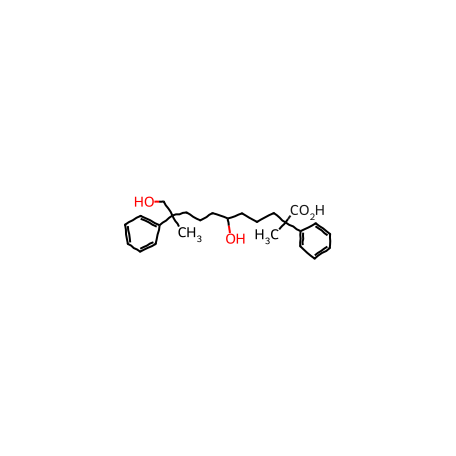 CC(CO)(CCCC(O)CCCC(C)(C(=O)O)c1ccccc1)c1ccccc1